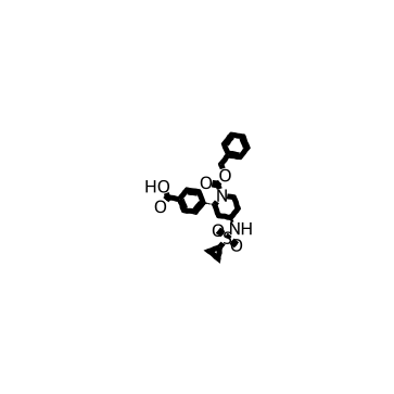 O=C(O)c1ccc([C@H]2C[C@H](NS(=O)(=O)C3CC3)CCN2C(=O)OCc2ccccc2)cc1